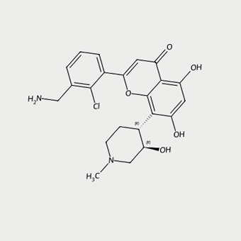 CN1CC[C@H](c2c(O)cc(O)c3c(=O)cc(-c4cccc(CN)c4Cl)oc23)[C@@H](O)C1